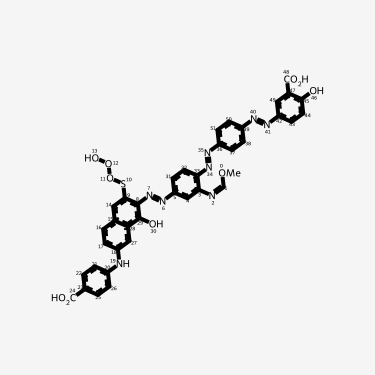 CO/C=N\c1cc(N=Nc2c(SOOO)cc3ccc(Nc4ccc(C(=O)O)cc4)cc3c2O)ccc1N=Nc1ccc(N=Nc2ccc(O)c(C(=O)O)c2)cc1